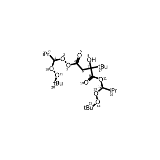 CC(C)C(OOC(=O)CC(O)(C(=O)OC(OOC(C)(C)C)C(C)C)C(C)(C)C)OOC(C)(C)C